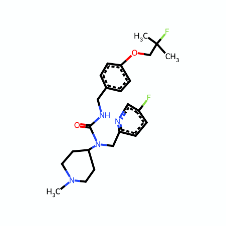 CN1CCC(N(Cc2ccc(F)cn2)C(=O)NCc2ccc(OCC(C)(C)F)cc2)CC1